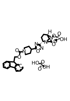 O=C(OCC1c2ccccc2-c2ccccc21)N1CCC(c2nc([C@@H]3CC[C@@H]4CN3C(=O)N4OS(=O)(=O)O)no2)CC1.O=S(=O)(O)O